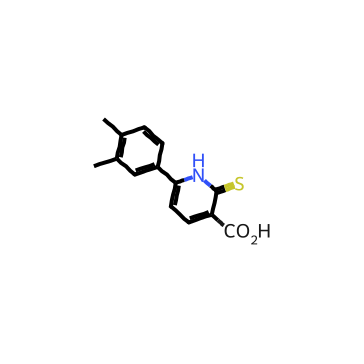 Cc1ccc(-c2ccc(C(=O)O)c(=S)[nH]2)cc1C